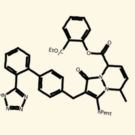 CCCCCc1c(Cc2ccc(-c3ccccc3-c3nnn[nH]3)cc2)c(=O)n2n1C(C)C=CC2C(=O)Oc1ccccc1C(=O)OCC